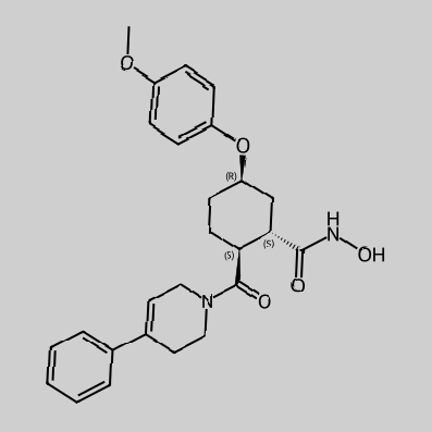 COc1ccc(O[C@@H]2CC[C@H](C(=O)N3CC=C(c4ccccc4)CC3)[C@@H](C(=O)NO)C2)cc1